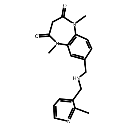 Cc1ncccc1CNCc1ccc2c(c1)N(C)C(=O)CC(=O)N2C